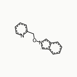 [c]1c2ccccc2cn1OCc1ccccn1